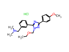 CCOCn1nc(-c2ccc(OC)cc2)nc1-c1cccc(CN(C)C)c1.Cl